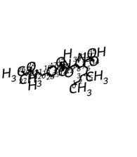 CCCCC(C)Cc1cc(C(=O)NS(=O)(=O)c2ccc(CCNC(=O)C(C)C)cc2)cnc1C(=O)O